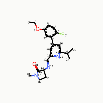 CCOc1ccc(F)c(-c2cc(/C=N/C3CCN(C)C3=O)nc(C(C)C)c2)c1